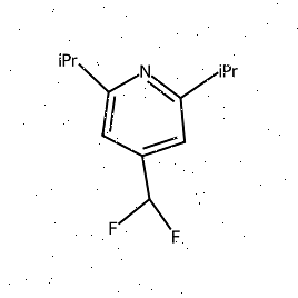 CC(C)c1cc(C(F)F)cc(C(C)C)n1